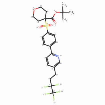 CC(C)(C)OC(=O)C1(S(=O)(=O)c2ccc(-c3ccc(CCC(F)(F)C(F)(F)F)cn3)cc2)CCOCC1